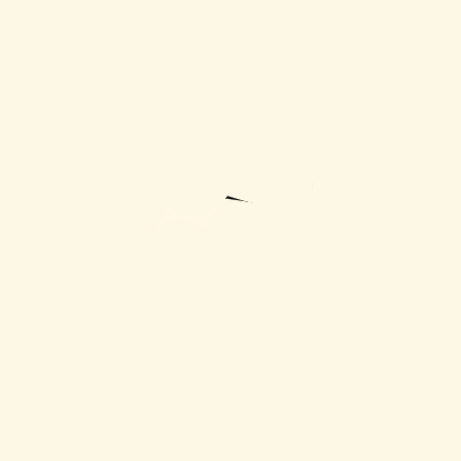 CCOOC[C@@H](CBr)CCBr